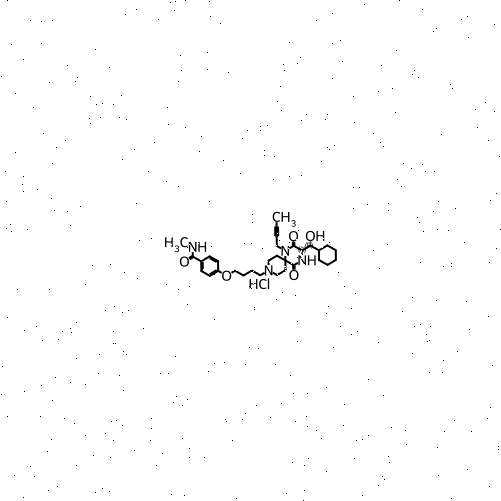 CC#CCN1C(=O)[C@@H]([C@H](O)C2CCCCC2)NC(=O)C12CCN(CCCCOc1ccc(C(=O)NC)cc1)CC2.Cl